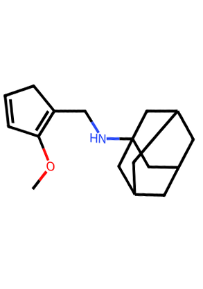 COC1=C(CNC23CC4CC(CC(C4)C2)C3)CC=C1